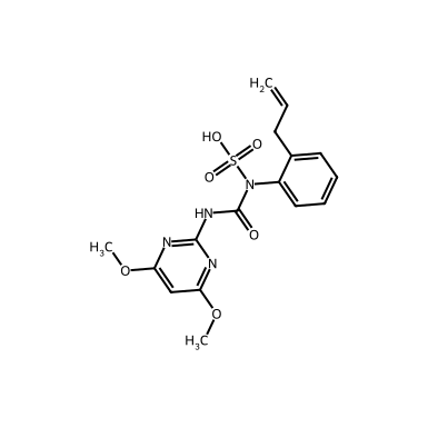 C=CCc1ccccc1N(C(=O)Nc1nc(OC)cc(OC)n1)S(=O)(=O)O